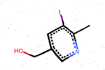 Cc1ncc(CO)cc1I